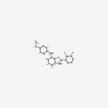 Cc1cccc(N2Cc3c(Nc4ccc(OC(F)(F)F)cc4)ncnc3N2)c1C